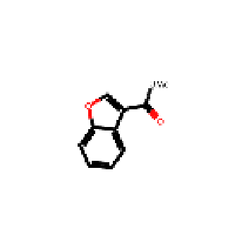 COC(=O)c1[c]oc2ccccc12